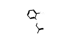 C=C(C)COc1ccccc1N